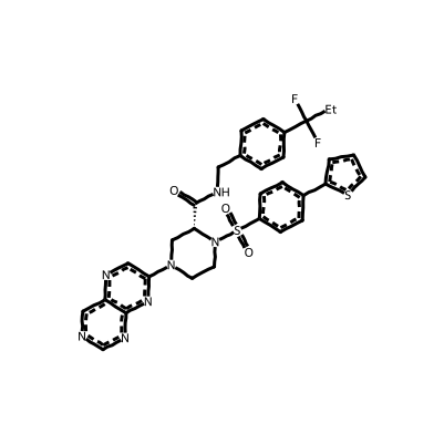 CCC(F)(F)c1ccc(CNC(=O)[C@H]2CN(c3cnc4cncnc4n3)CCN2S(=O)(=O)c2ccc(-c3cccs3)cc2)cc1